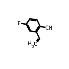 C=[C]c1cc(F)ccc1C#N